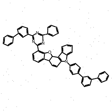 C1=CC2c3cccc(-c4nc(-c5ccccc5)nc(-c5cccc(-c6ccccc6)c5)n4)c3OC2c2c1n(-c1ccc(-c3cccc(-c4ccccc4)c3)cc1)c1ccccc21